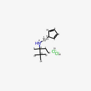 CCC(C)([NH][Ti+2][CH]1C=CC=C1)C(C)(C)C.[Cl-].[Cl-]